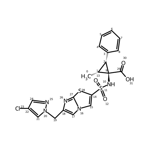 C[C@@H]1[C@H](c2ccccc2)[C@]1(NS(=O)(=O)c1cn2cc(Cn3cc(Cl)cn3)nc2s1)C(=O)O